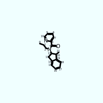 CCCN(C(=O)c1ccccn1)C1Cc2ccccc2C1C